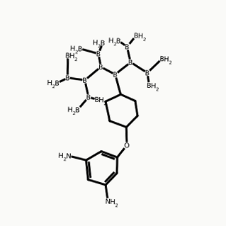 BB(B)B(B(B)B)B(B(B)B)B(B(B(B)B)B(B)B)C1CCC(Oc2cc(N)cc(N)c2)CC1